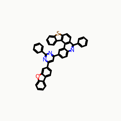 c1ccc(-c2nc(-c3ccc4c(c3)oc3ccccc34)cc(-c3ccc4nc(-c5ccccc5)c5ccc6sc7ccccc7c6c5c4c3)n2)cc1